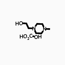 CN1CCN(CCO)CC1.O=C(O)O